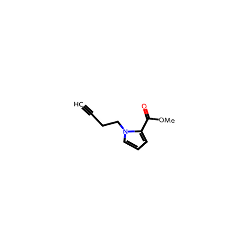 C#CCCn1cccc1C(=O)OC